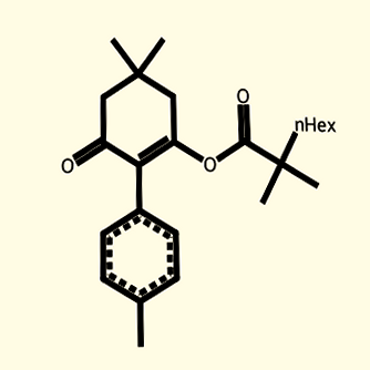 CCCCCCC(C)(C)C(=O)OC1=C(c2ccc(C)cc2)C(=O)CC(C)(C)C1